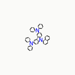 C1=CCC(N(c2ccccc2)c2ccc3c(c2)c2cc(N(c4ccccc4)c4ccccc4)ccc2n3-c2cccc3ccccc23)C=C1